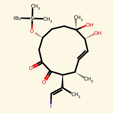 C/C(=C\I)[C@H]1C(=O)C(=O)C[C@H](O[Si](C)(C)C(C)(C)C)CC[C@@](C)(O)[C@H](O)/C=C/[C@@H]1C